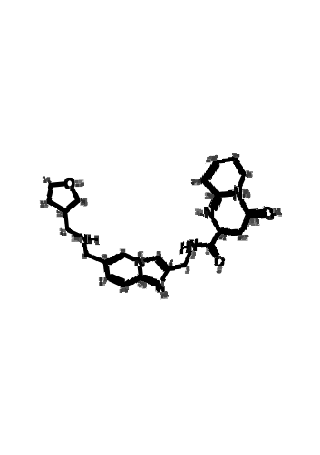 O=C(NCc1cn2cc(CNCC3CCOC3)ccc2n1)c1cc(=O)n2ccccc2n1